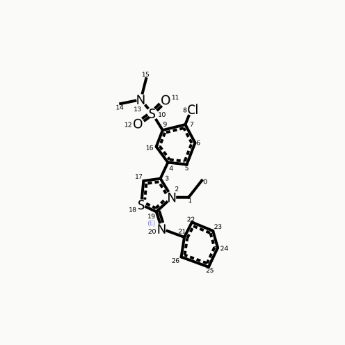 CCn1c(-c2ccc(Cl)c(S(=O)(=O)N(C)C)c2)cs/c1=N/c1ccccc1